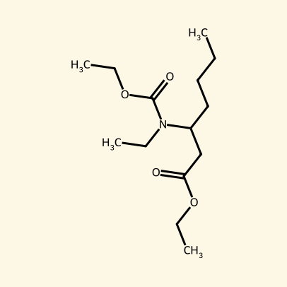 CCCCC(CC(=O)OCC)N(CC)C(=O)OCC